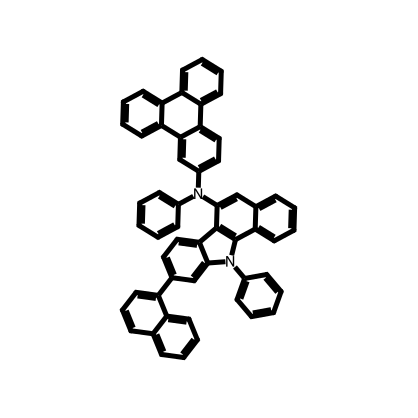 c1ccc(N(c2ccc3c4ccccc4c4ccccc4c3c2)c2cc3ccccc3c3c2c2ccc(-c4cccc5ccccc45)cc2n3-c2ccccc2)cc1